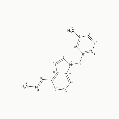 Cc1ccnc(Cn2ccc3c(C=NN)cccc32)c1